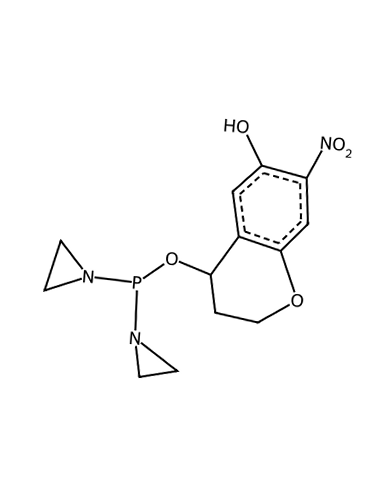 O=[N+]([O-])c1cc2c(cc1O)C(OP(N1CC1)N1CC1)CCO2